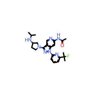 CC(=O)Nc1cc2c(cn1)c(N1CCC(NC(C)C)C1)nn2-c1cccc(C(C)(C)F)n1